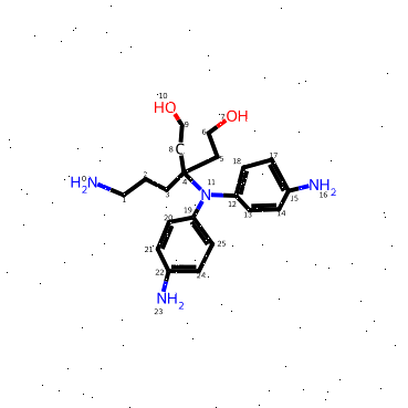 NCCCC(CCO)(CCO)N(c1ccc(N)cc1)c1ccc(N)cc1